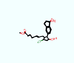 COC(=O)CCCCCCC1C(Cl)CC(O)C1c1ccc2c(c1)CCC2O